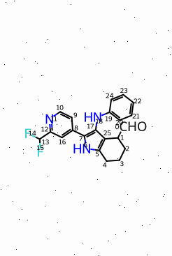 O=CC1CCCc2[nH]c(-c3ccnc(C(F)F)c3)c(Nc3ccccc3)c21